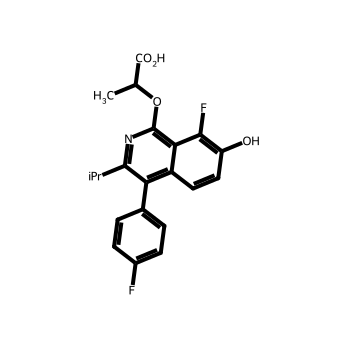 CC(Oc1nc(C(C)C)c(-c2ccc(F)cc2)c2ccc(O)c(F)c12)C(=O)O